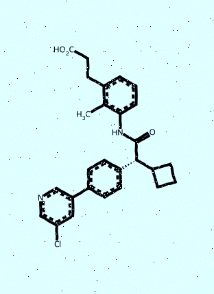 Cc1c(CCC(=O)O)cccc1NC(=O)[C@@H](c1ccc(-c2cncc(Cl)c2)cc1)C1CCC1